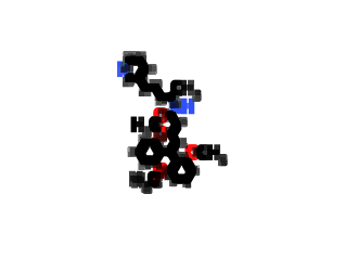 COc1cccc(OC)c1C(=C/C=C/C(=O)N[C@H](C)CCCc1cccnc1)c1c(OC)cccc1OC